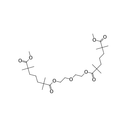 COC(=O)C(C)(C)CCCC(C)(C)C(=O)OCCOCCOC(=O)C(C)(C)CCCC(C)(C)C(=O)OC